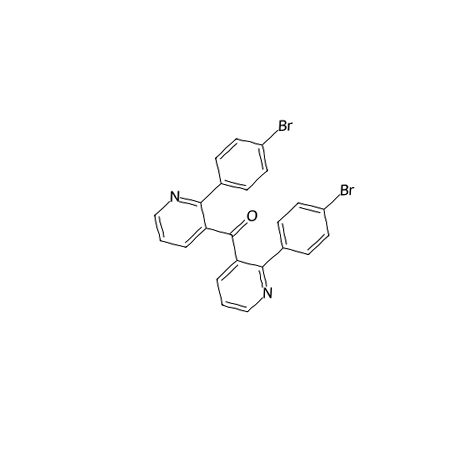 O=C(c1cccnc1-c1ccc(Br)cc1)c1cccnc1-c1ccc(Br)cc1